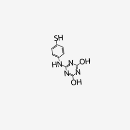 Oc1nc(O)nc(Nc2ccc(S)cc2)n1